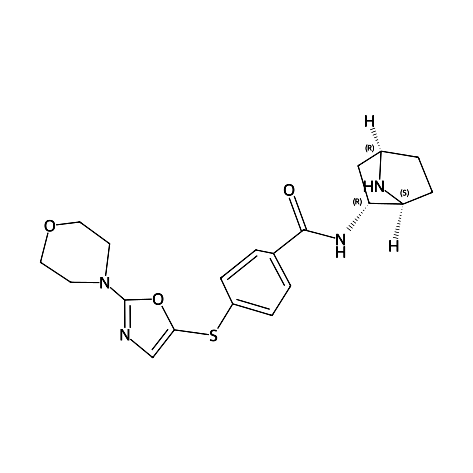 O=C(N[C@@H]1C[C@H]2CC[C@@H]1N2)c1ccc(Sc2cnc(N3CCOCC3)o2)cc1